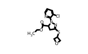 CCOC(=O)C1CC(SC2COC2)=NN1c1ncccc1Cl